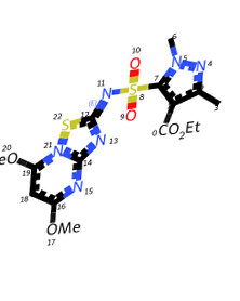 CCOC(=O)c1c(C)nn(C)c1S(=O)(=O)/N=c1\nc2nc(OC)cc(OC)n2s1